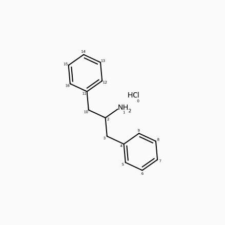 Cl.NC(Cc1ccccc1)Cc1ccccc1